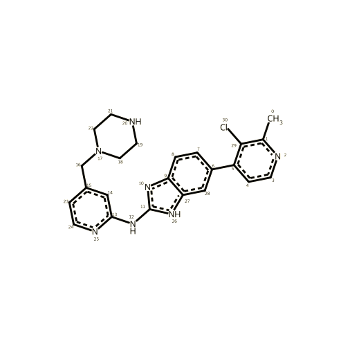 Cc1nccc(-c2ccc3nc(Nc4cc(CN5CCNCC5)ccn4)[nH]c3c2)c1Cl